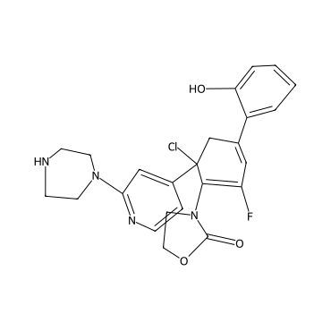 O=C1OCCN1C1=C(F)C=C(c2ccccc2O)CC1(Cl)c1ccnc(N2CCNCC2)c1